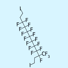 FC(F)(F)C(F)(CCI)C(F)(F)C(F)(F)C(F)(F)C(F)(F)C(F)(F)C(F)(F)C(F)(F)CCI